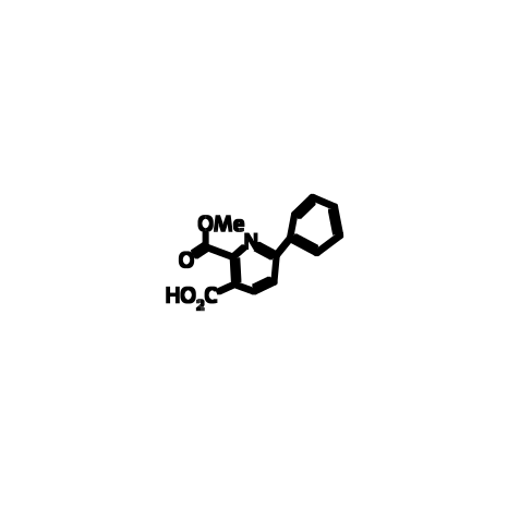 COC(=O)c1nc(-c2ccccc2)ccc1C(=O)O